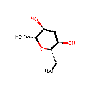 CC(C)(C)C[C@@H]1O[C@H](C(=O)O)[C@@H](O)C[C@H]1O